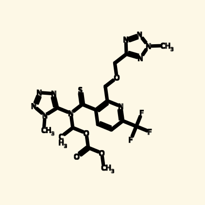 COC(=O)OC(C)N(C(=S)c1ccc(C(F)(F)F)nc1COCc1nnn(C)n1)c1nnnn1C